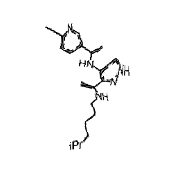 C=C(Nc1c[nH]nc1C(=C)NCCCCC(C)C)c1ccc(C)nc1